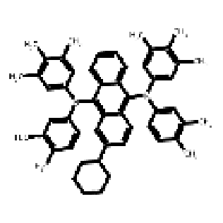 Cc1ccc(N(c2cc(C)c(C)c(C)c2)c2c3ccccc3c(N(c3ccc(C)c(C)c3)c3cc(C)c(C)c(C)c3)c3cc(C4CCCCC4)ccc23)cc1C